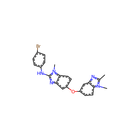 Cc1nc2cc(Oc3ccc4c(c3)nc(Nc3ccc(Br)cc3)n4C)ccc2n1C